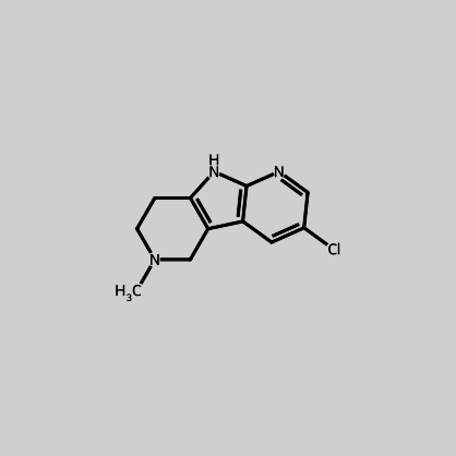 CN1CCc2[nH]c3ncc(Cl)cc3c2C1